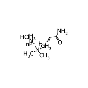 C=CC(N)=O.CCC[N+](C)(C)C.Cl.N